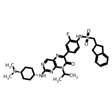 CC(C)n1c(=O)c(-c2ccc(NS(=O)(=O)CC3Cc4ccccc4C3)c(F)c2)nc2cnc(N[C@H]3CC[C@H](N(C)C)CC3)nc21